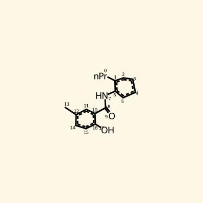 CCCc1ccccc1NC(=O)c1cc(C)ccc1O